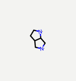 C1CC2C[N]CC2[N]1